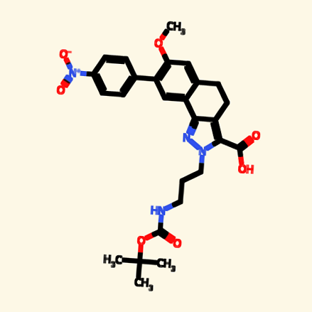 COc1cc2c(cc1-c1ccc([N+](=O)[O-])cc1)-c1nn(CCCNC(=O)OC(C)(C)C)c(C(=O)O)c1CC2